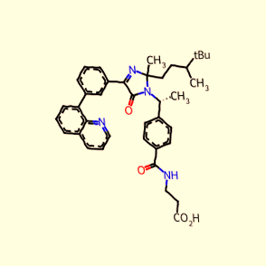 CC(CCC1(C)N=C(c2cccc(-c3cccc4cccnc34)c2)C(=O)N1[C@H](C)c1ccc(C(=O)NCCC(=O)O)cc1)C(C)(C)C